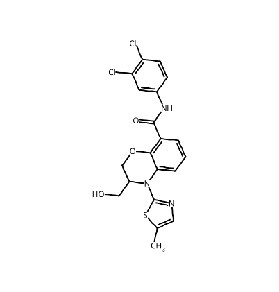 Cc1cnc(N2c3cccc(C(=O)Nc4ccc(Cl)c(Cl)c4)c3OCC2CO)s1